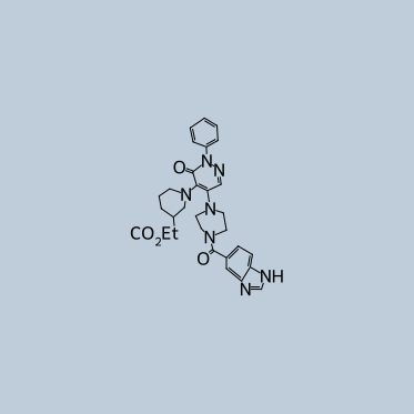 CCOC(=O)C1CCCN(c2c(N3CCN(C(=O)c4ccc5[nH]cnc5c4)CC3)cnn(-c3ccccc3)c2=O)C1